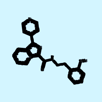 COc1ccccc1CCNC(=O)c1nc(-c2ccncc2)c2ccccn12